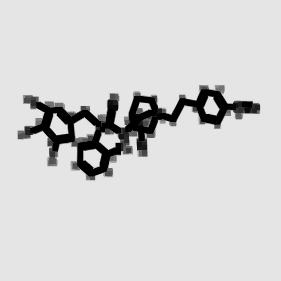 COc1ccc(CC[N+]23CCC(CC2)[C@@H](OC(=O)N(Cc2cc(F)c(F)c(F)c2)c2ccccc2F)C3)cc1